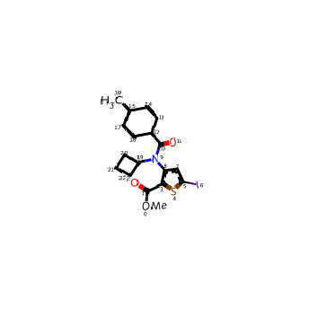 COC(=O)c1sc(I)cc1N(C(=O)C1CCC(C)CC1)C1CCC1